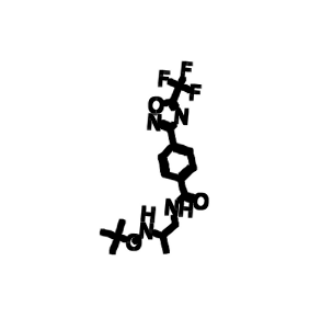 CC(CNC(=O)c1ccc(-c2noc(C(F)(F)F)n2)cc1)NOC(C)(C)C